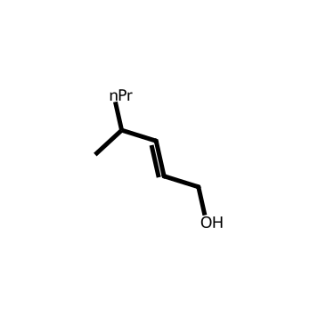 CCCC(C)C=CCO